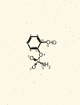 NS(=O)(=O)Oc1ccccc1C=O